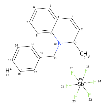 CC1C=Cc2ccccc2N1Cc1ccccc1.[F][Sb-]([F])([F])([F])([F])[F].[H+]